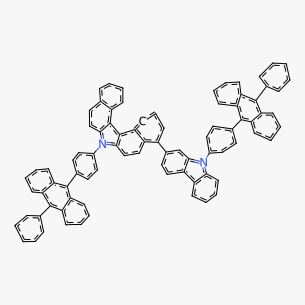 c1ccc(-c2c3ccccc3c(-c3ccc(-n4c5ccccc5c5ccc(-c6cccc7c6ccc6c7c7c8ccccc8ccc7n6-c6ccc(-c7c8ccccc8c(-c8ccccc8)c8ccccc78)cc6)cc54)cc3)c3ccccc23)cc1